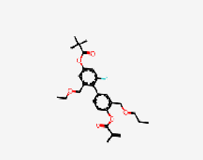 C=C(C)C(=O)Oc1ccc(-c2c(F)cc(OC(=O)C(C)(C)C)cc2COCC)cc1COCCC